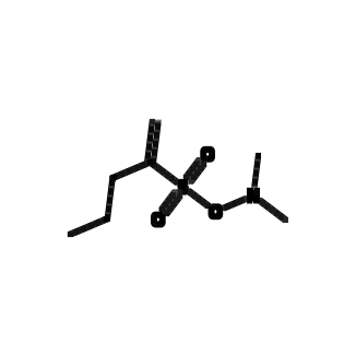 C=C(CCC)S(=O)(=O)ON(C)C